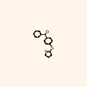 O=C(c1ccccc1)c1ccc(Sc2cccs2)cc1